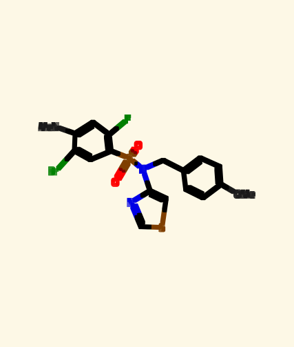 CNc1cc(F)c(S(=O)(=O)N(Cc2ccc(OC)cc2)c2cscn2)cc1Br